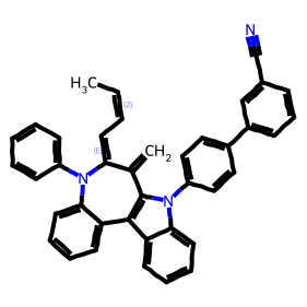 C=C1/C(=C\C=C/C)N(c2ccccc2)c2ccccc2-c2c1n(-c1ccc(-c3cccc(C#N)c3)cc1)c1ccccc21